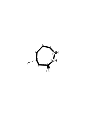 C[C@@H]1CCCNNC(=O)C1